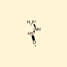 O=[SH]NP